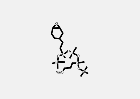 COCCC[Si](C)(O[Si](C)(C)C)O[Si](C)(C)O[Si](C)(CCC1CCC2OC2C1)O[Si](C)(C)C